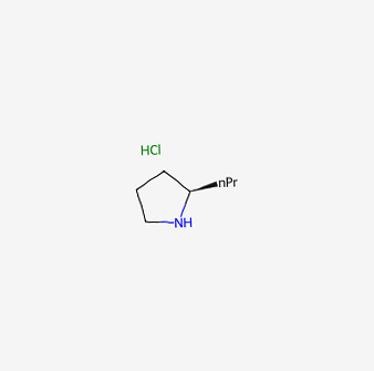 CCC[C@@H]1CCCN1.Cl